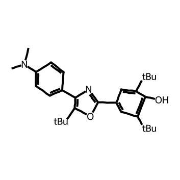 CN(C)c1ccc(-c2nc(-c3cc(C(C)(C)C)c(O)c(C(C)(C)C)c3)oc2C(C)(C)C)cc1